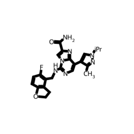 Cc1nn(C(C)C)cc1-c1cnc(NCc2c(F)ccc3c2CCO3)n2cc(C(N)=O)nc12